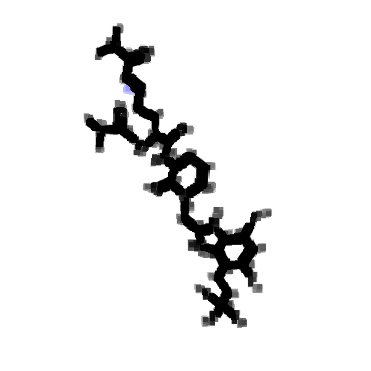 CN(C)C(=O)/C=C/CC[C@H](OC(=O)N(C)C)C(=O)Nc1cccn(Cc2nc3c(F)cc(F)c(CCC(F)(F)F)c3[nH]2)c1=O